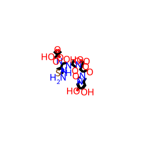 Nc1nc(/C(=N/OC2(C(=O)O)COC2)C(=O)N[C@H]2CON(C3(C(=O)O)CC(N4Cc5cc(O)c(O)c[n+]5C4=O)C(=O)O3)C2=O)cs1